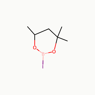 CC1CC(C)(C)OB(I)O1